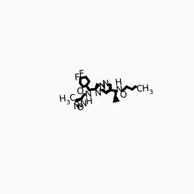 CCCCC(=O)N[C@@H](c1cnn2cc([C@@H](NC(=O)c3nonc3C)C3CCC(F)(F)CC3)nc2c1)C1CC1